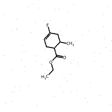 CCOC(=O)C1CC=C(F)CC1C